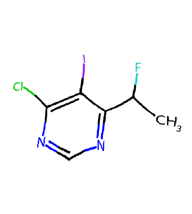 CC(F)c1ncnc(Cl)c1I